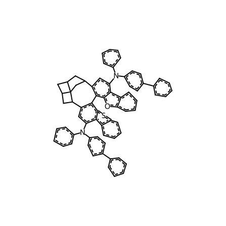 c1ccc(-c2ccc(N(c3ccccc3)c3cc4c(c5oc6ccccc6c35)-c3c(cc(N(c5ccccc5)c5ccc(-c6ccccc6)cc5)c5c3sc3ccccc35)C3CC5CC6CC4CC653)cc2)cc1